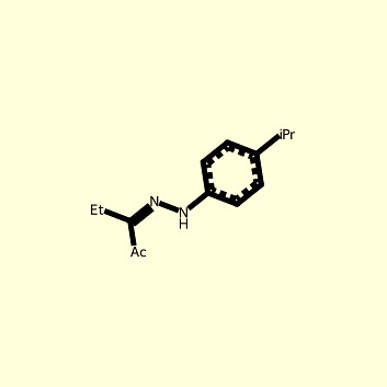 CCC(=NNc1ccc(C(C)C)cc1)C(C)=O